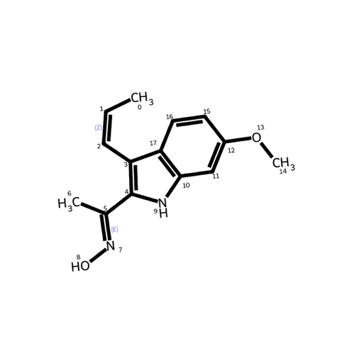 C/C=C\c1c(/C(C)=N/O)[nH]c2cc(OC)ccc12